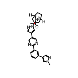 CC(=O)N1[C@@H]2CC[C@H]1CC(n1cc(-c3cnc(-c4cccc(-c5cnn(C)c5)c4)nc3)cn1)C2